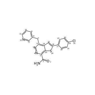 NC(=O)c1nnc(Cc2cccnc2)c2cc(-c3ccc(Cl)cc3)sc12